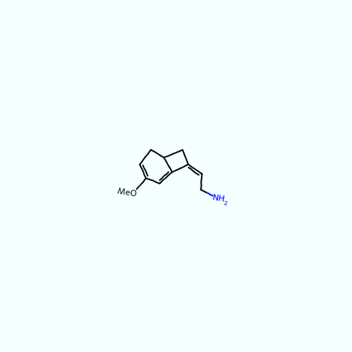 COC1=CCC2CC(=CCN)C2=C1